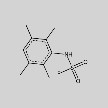 Cc1cc(C)c(C)c(NS(=O)(=O)F)c1C